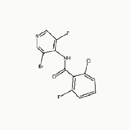 O=C(Nc1c(F)cncc1Br)c1c(F)cccc1Cl